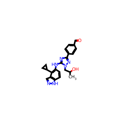 CC(O)Cn1nc(-c2ccc(C=O)cc2)nc1Nc1ccc2[nH]ncc2c1C1CC1